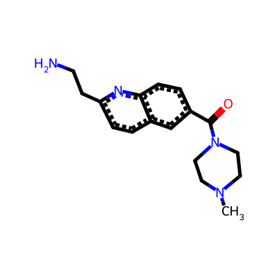 CN1CCN(C(=O)c2ccc3nc(CCN)ccc3c2)CC1